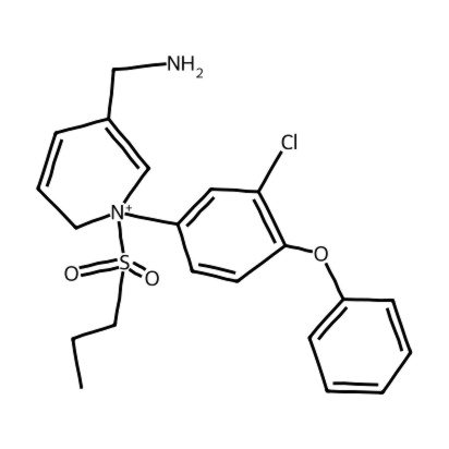 CCCS(=O)(=O)[N+]1(c2ccc(Oc3ccccc3)c(Cl)c2)C=C(CN)C=CC1